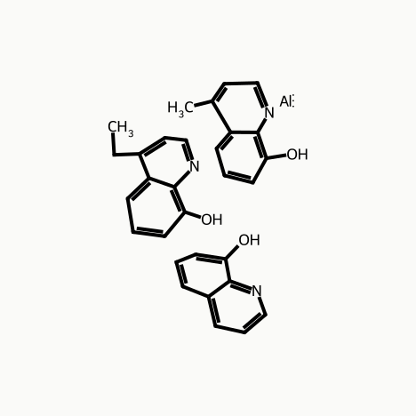 CCc1ccnc2c(O)cccc12.Cc1ccnc2c(O)cccc12.Oc1cccc2cccnc12.[Al]